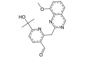 COc1cccc2cnc(Cc3nc(C(C)(C)O)ccc3C=O)nc12